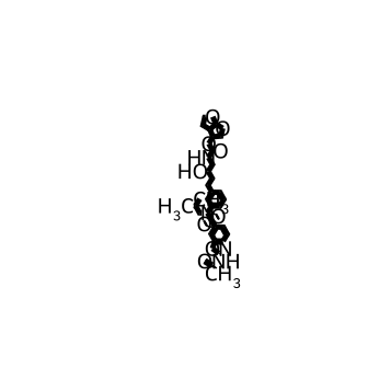 CC(=O)Nc1nc2ccc(S(=O)(=O)N(CC(C)C)c3cccc(CCC(O)CNC(=O)OC4COC5OCCC45)c3)cc2o1